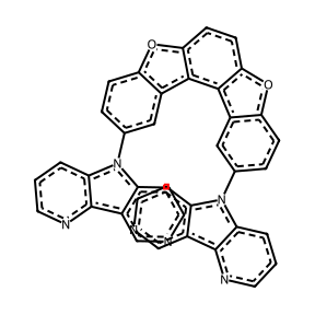 c1cnc2c3cnccc3n(-c3ccc4oc5ccc6oc7ccc(-n8c9ccncc9c9ncccc98)cc7c6c5c4c3)c2c1